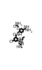 CCCS(=O)(=O)N(CC(=O)NC)c1cc(Cl)cc(C(=O)NCc2ccc(C(=N)N)cc2OCC(N)=O)c1